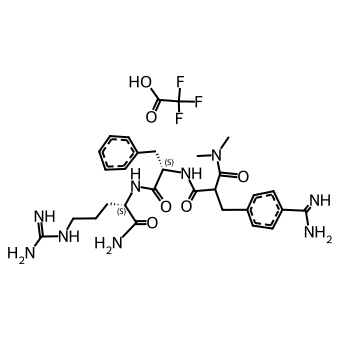 CN(C)C(=O)C(Cc1ccc(C(=N)N)cc1)C(=O)N[C@@H](Cc1ccccc1)C(=O)N[C@@H](CCCNC(=N)N)C(N)=O.O=C(O)C(F)(F)F